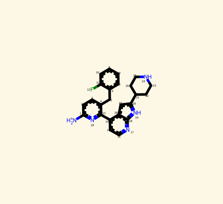 Nc1ccc(Cc2ccccc2F)c(-c2ccnc3[nH]c(C4CCNCC4)cc23)n1